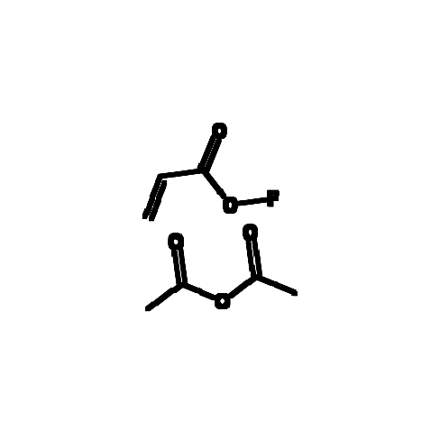 C=CC(=O)OF.CC(=O)OC(C)=O